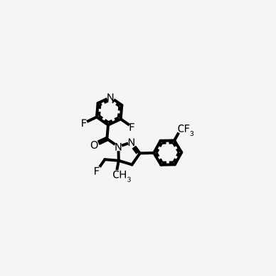 CC1(CF)CC(c2cccc(C(F)(F)F)c2)=NN1C(=O)c1c(F)cncc1F